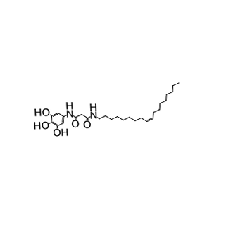 CCCCCCCC/C=C\CCCCCCCCNC(=O)CC(=O)Nc1cc(O)c(O)c(O)c1